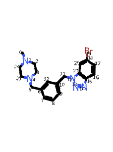 CN1CCN(Cc2cccc(Cn3nnc4ccc(Br)cc43)c2)CC1